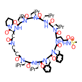 CC(C)C[C@@H]1NC(=O)[C@H](CC(C)C)N(C)C(=O)CCCN(C)C(=O)C[C@@H](C(=O)N2CCCCC2)NC(=O)[C@H](CC(C)C)N(C)C(=O)[C@H](CC(C)C)N(C)C(=O)[C@H](CC(C)C)NC(=O)[C@H](CC(C)C)N(C)C(=O)C(CCC(=O)NS(C)(=O)=O)NC(=O)[C@H](Cc2ccccc2)N(C)C(=O)[C@H](Cc2ccccc2)N(C)C1=O